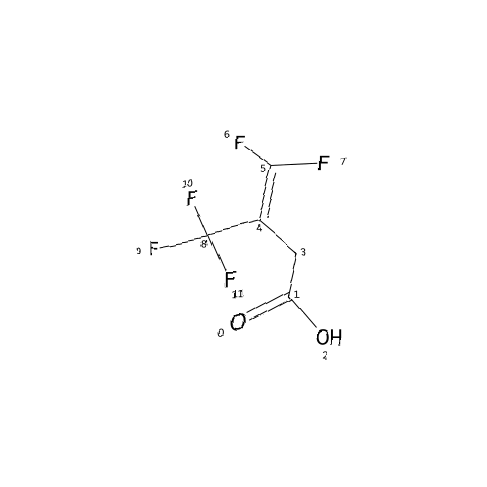 O=C(O)CC(=C(F)F)C(F)(F)F